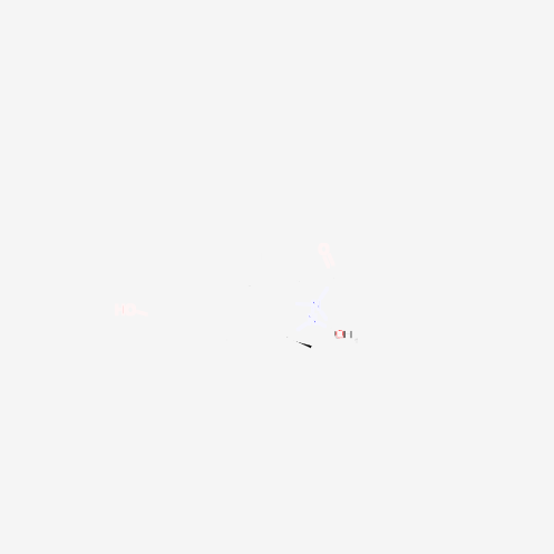 CN1CC[C@]2(C)c3cc(O)ccc3C[C@@H]1[C@@H]2N(C)C(=O)Cc1ccsc1